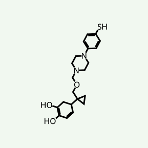 OC1=C(O)CC(C2(COCN3CCN(c4ccc(S)cc4)CC3)CC2)C=C1